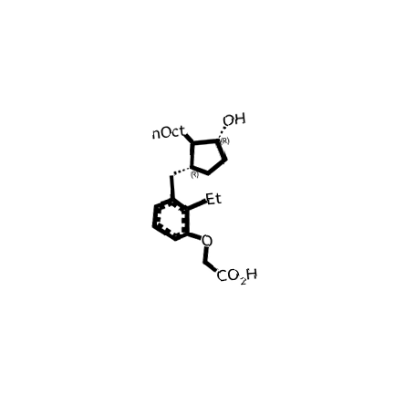 CCCCCCCCC1[C@@H](Cc2cccc(OCC(=O)O)c2CC)CC[C@H]1O